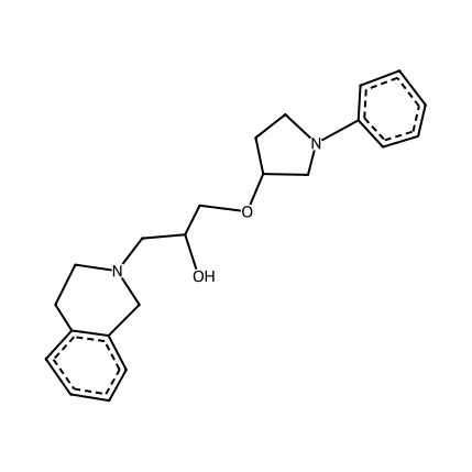 OC(COC1CCN(c2ccccc2)C1)CN1CCc2ccccc2C1